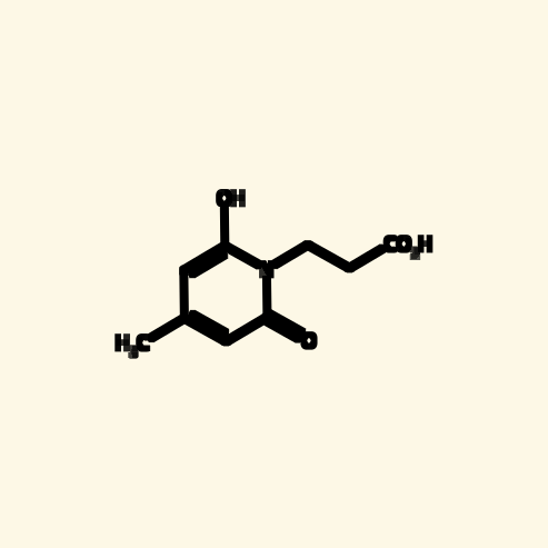 Cc1cc(O)n(CCC(=O)O)c(=O)c1